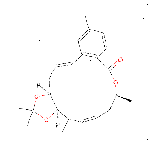 Cc1ccc2c(c1)/C=C/C[C@@H]1OC(C)(C)O[C@@H]1C(C)/C=C\C[C@H](C)OC2=O